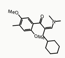 COc1cc(C(=O)C(=CN(C)C)CC2CCCCC2)c(OC)cc1C